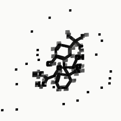 CC(C)COC(C(=O)O)(c1cc(C(F)(F)F)ccc1Cl)C1(C#N)C=CC=CC1